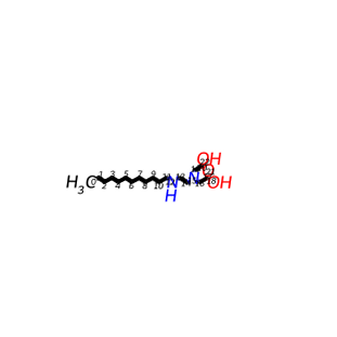 CCCCCCCCCCCCNCCN(CCO)CC(=O)O